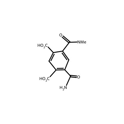 CNC(=O)c1cc(C(N)=O)c(C(=O)O)cc1C(=O)O